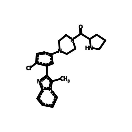 Cc1c(-c2cc(N3CCN(C(=O)C4CCCN4)CC3)ccc2Cl)nc2ccccn12